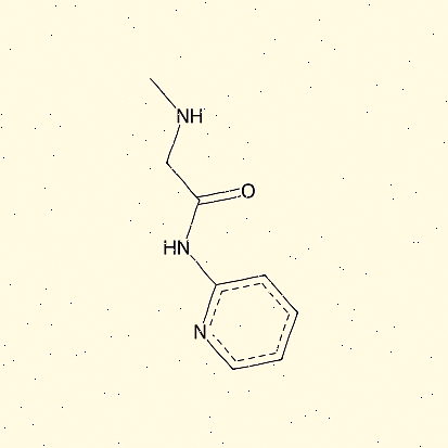 CNCC(=O)Nc1ccccn1